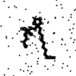 CCCCCCCCCCCCCCCCCCC1(COP(=O)(O)OCCBr)CCCO1